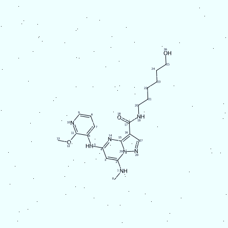 CNc1cc(Nc2cccnc2OC)nc2c(C(=O)NCCCCCCO)cnn12